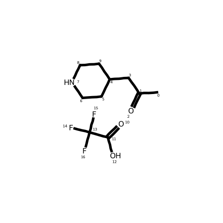 CC(=O)CC1CCNCC1.O=C(O)C(F)(F)F